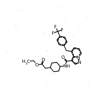 CCOC(=O)CC1CCC(NC(=O)c2cnn3cccc(Cc4ccc(C(F)(F)F)cc4)c23)CC1